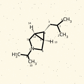 CC(C)C[C@@H]1[C@H]2CN(C(C)C)C[C@@H]12